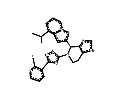 CC(C)c1cccn2nc([C@H]3c4nc[nH]c4CCN3c3nnc(-c4cccnc4F)o3)cc12